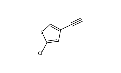 C#Cc1csc(Cl)c1